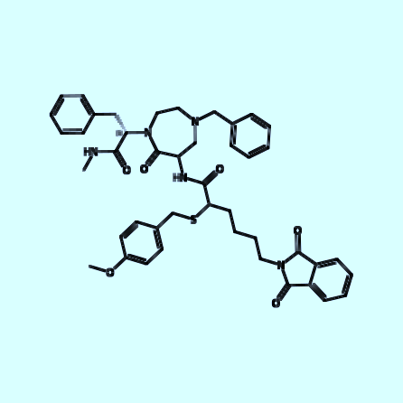 CNC(=O)[C@H](Cc1ccccc1)N1CCN(Cc2ccccc2)CC(NC(=O)C(CCCCN2C(=O)c3ccccc3C2=O)SCc2ccc(OC)cc2)C1=O